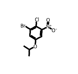 CC(C)Oc1cc(Br)c(Cl)c([N+](=O)[O-])c1